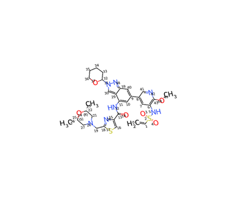 C=CS(=O)(=O)Nc1cc(-c2cc(NC(=O)c3csc(CN4C[C@@H](C)O[C@@H](C)C4)n3)c3cn(C4CCCCO4)nc3c2)cnc1OC